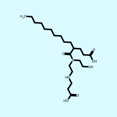 CCCCCCCCCCC(CCC(=O)O)C(=O)N(CCO)CCNCCC(=O)O